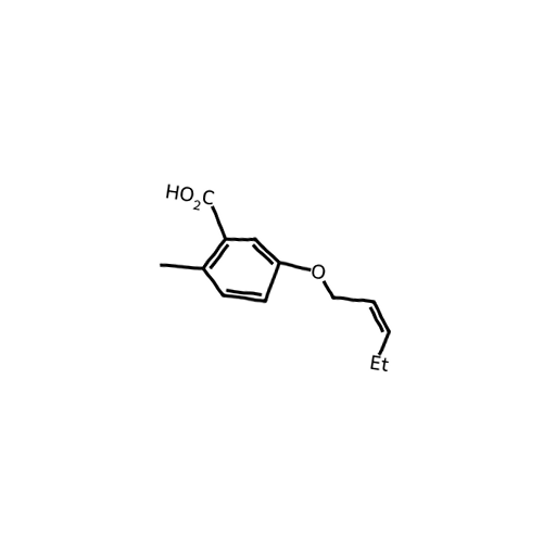 CC/C=C\COc1ccc(C)c(C(=O)O)c1